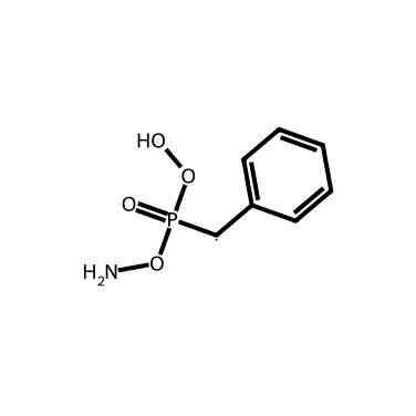 NOP(=O)([CH]c1ccccc1)OO